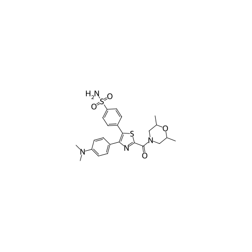 CC1CN(C(=O)c2nc(-c3ccc(N(C)C)cc3)c(-c3ccc(S(N)(=O)=O)cc3)s2)CC(C)O1